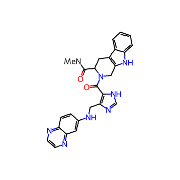 CNC(=O)C1Cc2c([nH]c3ccccc23)CN1C(=O)c1[nH]cnc1CNc1ccc2nccnc2c1